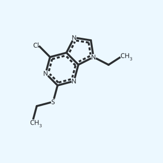 CCSc1nc(Cl)c2ncn(CC)c2n1